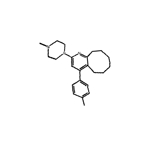 Cc1ccc(-c2cc(N3CCN(C)CC3)nc3c2CCCCCC3)cc1